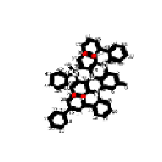 Cc1cc2c3c(c1)N(c1ccccc1-c1cc(-c4ccccc4)ccn1)c1cccc4c1B3c1c(cccc1[Si]4(C)c1ccccc1)N2c1ccccc1-c1ccccn1